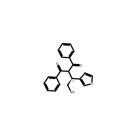 O=NC[C@H](c1ccoc1)C(C(=O)c1ccccc1)C(=O)c1ccccc1